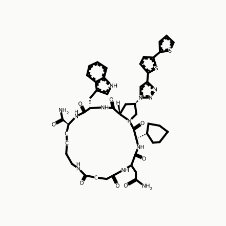 NC(=O)CC1NC(=O)CCC(=O)NCCCC[C@@H](C(N)=O)NC(=O)[C@H](Cc2c[nH]c3ccccc23)NC(=O)[C@@H]2C[C@H](n3cc(-c4ccc(-c5cccs5)s4)nn3)CN2C(=O)[C@H](C2CCCCC2)NC1=O